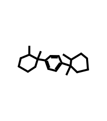 CC1CCCCC1(C)c1ccc(C2(C)CCCCC2C)cc1